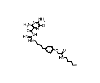 CCCCCNC(=O)COc1ccc(CCCCNC(=N)NC(=O)c2nc(Cl)c(N)nc2N)cc1